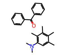 Cc1cc(N(C)C)c(C)c(C)c1C.O=C(c1ccccc1)c1ccccc1